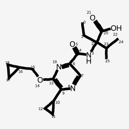 CCC(NC(=O)c1cnc(C2CC2)c(OCC2CC2)n1)(C(=O)O)C(C)C